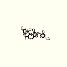 O=C(C1C(C(F)(F)F)CCc2nn(Cc3ncc(Cl)cc3Cl)c(=O)n21)N1CC[C@H](F)C1